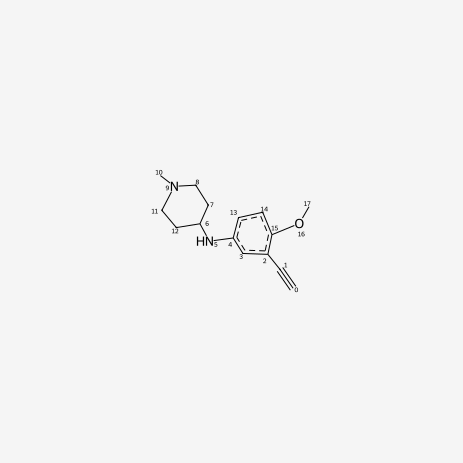 C#Cc1cc(NC2CCN(C)CC2)ccc1OC